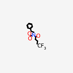 O=C(CCCC(F)(F)F)N1CC(c2ccccc2)OC1=O